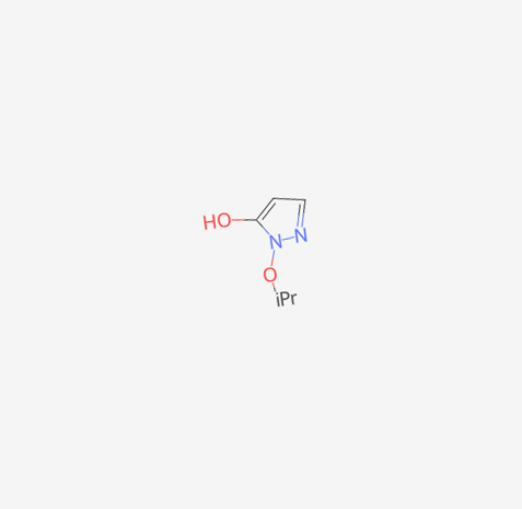 CC(C)On1nccc1O